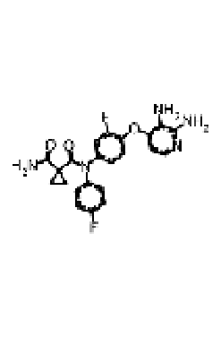 NC(=O)C1(C(=O)N(c2ccc(F)cc2)c2ccc(Oc3ccnc(N)c3N)c(F)c2)CC1